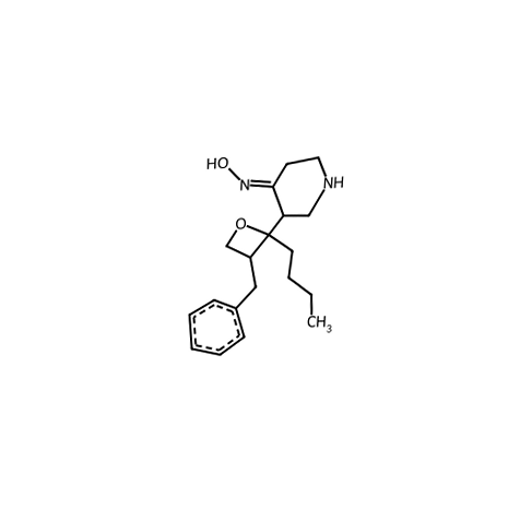 CCCCC1(C2CNCCC2=NO)OCC1Cc1ccccc1